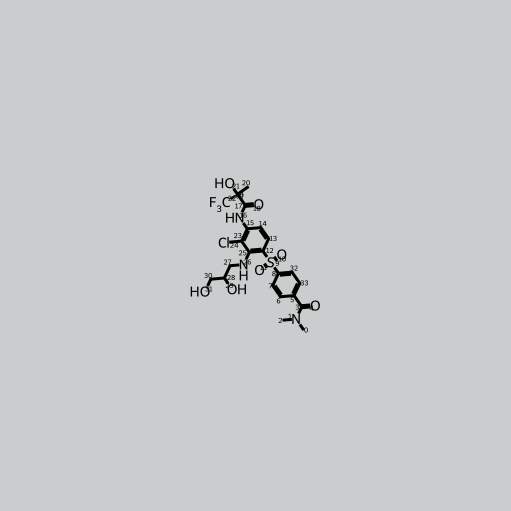 CN(C)C(=O)c1ccc(S(=O)(=O)c2ccc(NC(=O)[C@@](C)(O)C(F)(F)F)c(Cl)c2NCC(O)CO)cc1